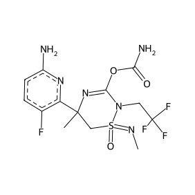 CN=S1(=O)CC(C)(c2nc(N)ccc2F)N=C(OC(N)=O)N1CC(F)(F)F